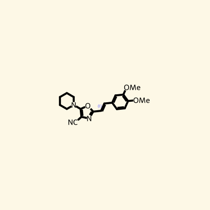 COc1ccc(/C=C/c2nc(C#N)c(N3CCCCC3)o2)cc1OC